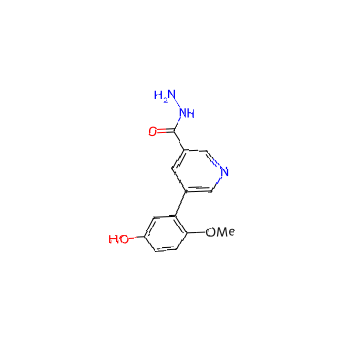 COc1ccc(O)cc1-c1cncc(C(=O)NN)c1